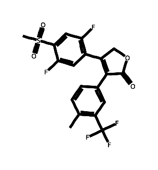 Cc1ccc(C2=C(c3cc(F)c(S(C)(=O)=O)cc3F)COC2=O)cc1C(F)(F)F